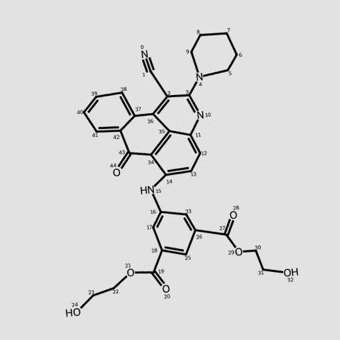 N#Cc1c(N2CCCCC2)nc2ccc(Nc3cc(C(=O)OCCO)cc(C(=O)OCCO)c3)c3c2c1-c1ccccc1C3=O